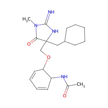 CC(=O)NC1C=CC=CC1OCC1(CC2CCCCC2)NC(=N)N(C)C1=O